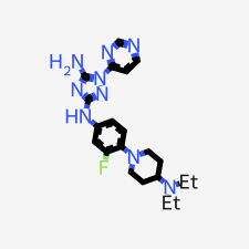 CCN(CC)C1CCN(c2ccc(Nc3nc(N)n(-c4ccncn4)n3)cc2F)CC1